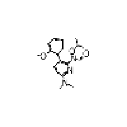 COC1=CC=CCC1c1ccc(N(C)C)nc1N(C=O)OC(C)C